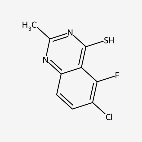 Cc1nc(S)c2c(F)c(Cl)ccc2n1